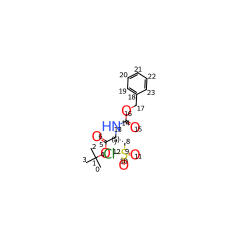 CC(C)(C)OC(=O)[C@@H](CS(=O)(=O)Cl)NC(=O)OCc1ccccc1